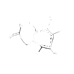 [CH2]c1c(F)c(F)c(CC(=C)Br)c(F)c1F